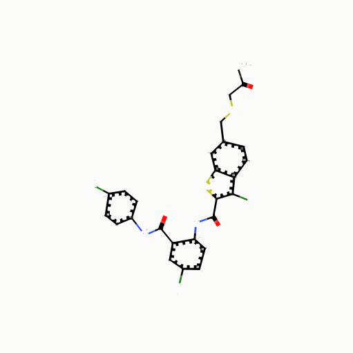 COC(=O)CSCc1ccc2c(Cl)c(C(=O)Nc3ccc(Cl)cc3C(=O)Nc3ccc(Cl)cc3)sc2c1